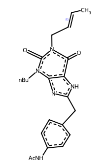 C/C=C/Cn1c(=O)c2[nH]c(Cc3ccc(NC(C)=O)cc3)nc2n(CCCC)c1=O